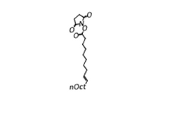 CCCCCCCCC=CCCCCCCCC(=O)ON1C(=O)CCC1=O